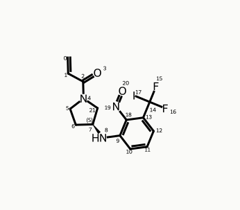 C=CC(=O)N1CC[C@H](Nc2cccc(C(F)(F)I)c2N=O)C1